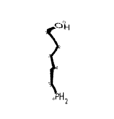 OCCCC[CH]P